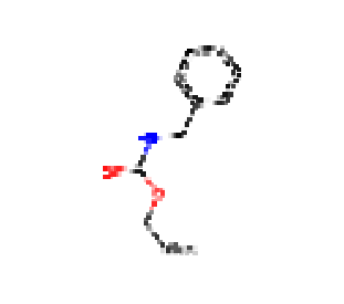 CCCCCCCCOC(=O)NCc1ccccc1